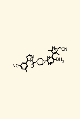 Bc1cnc(N2CCN(C(=O)N3N=CCC3c3cc(C)cc(C#N)c3)CC2)nc1-c1c(C)nn(CC#N)c1C